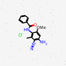 COc1cc(N)c([N+]#N)c(C)c1NC(=O)c1ccccc1.[Cl-]